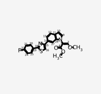 COC=C(C(=O)OC)n1ccc2ccc(-c3csc(-c4ccc(F)cc4)n3)cc21